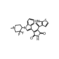 CN1CCC(n2cc(C3=C(c4c[nH]c5sccc45)C(=O)NC3=O)c3ccccc32)C(F)(F)C1